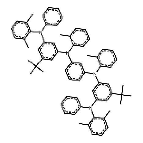 Cc1ccccc1N(c1cccc(N(c2cc(N(c3ccccc3)c3c(C)cccc3C)cc(C(C)(C)C)c2)c2ccccc2C)c1)c1cc(N(c2ccccc2)c2c(C)cccc2C)cc(C(C)(C)C)c1